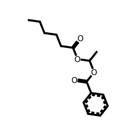 CCCCCC(=O)O[C](C)OC(=O)c1ccccc1